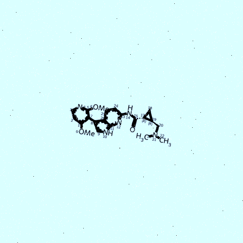 COc1ccnc(OC)c1-c1c[nH]c2nc(NC(=O)[C@@H]3C[C@H]3CN(C)C)ccc12